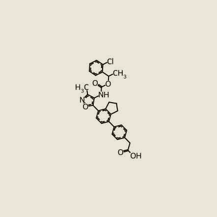 Cc1noc(-c2ccc(-c3ccc(CC(=O)O)cc3)c3c2CCC3)c1NC(=O)OC(C)c1ccccc1Cl